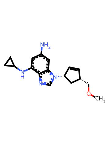 COC[C@H]1C=C[C@@H](n2cnc3c(NC4CC4)cc(N)cc32)C1